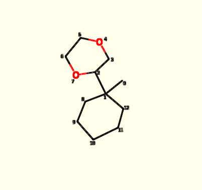 CC1(C2COCCO2)CCCCC1